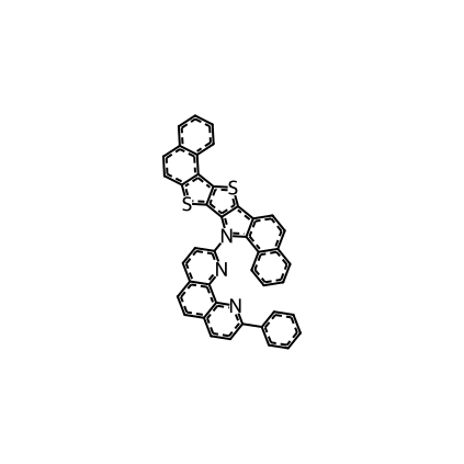 c1ccc(-c2ccc3ccc4ccc(-n5c6c7ccccc7ccc6c6sc7c(sc8ccc9ccccc9c87)c65)nc4c3n2)cc1